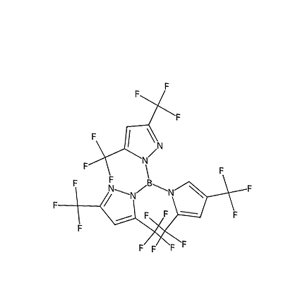 FC(F)(F)c1cc(C(F)(F)F)n(B(n2nc(C(F)(F)F)cc2C(F)(F)F)n2nc(C(F)(F)F)cc2C(F)(F)F)c1